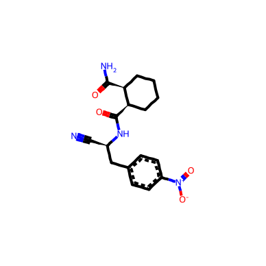 N#C[C@H](Cc1ccc([N+](=O)[O-])cc1)NC(=O)[C@@H]1CCCC[C@@H]1C(N)=O